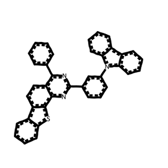 c1ccc(-c2nc(-c3cccc(-n4c5ccccc5c5ccccc54)c3)nc3c2ccc2c4ccccc4sc23)cc1